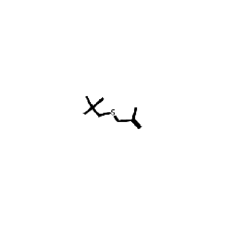 C=C(C)CSCC(C)(C)C